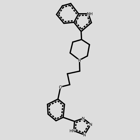 c1cc(OCCCN2CCC(c3c[nH]c4ccccc34)CC2)cc(-c2nnn[nH]2)c1